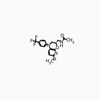 COc1ccc2c(n1)O[C@H](CNC(C)=O)CN2c1ccc(C(F)(F)F)cc1